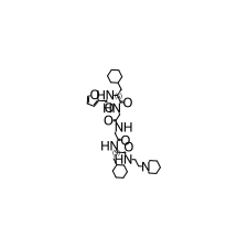 O=C(CNC(=O)[C@H](CC1CCCCC1)NC(=O)c1ccco1)NCC(=O)N[C@@H](CC1CCCCC1)C(=O)NCCN1CCCCC1